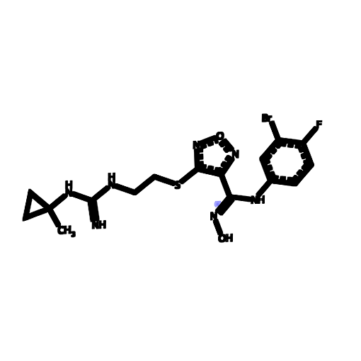 CC1(NC(=N)NCCSc2nonc2/C(=N/O)Nc2ccc(F)c(Br)c2)CC1